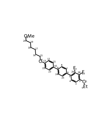 CCOc1ccc(-c2ccc(-c3ccc(OCCCCCCOC)cc3)cc2)c(F)c1F